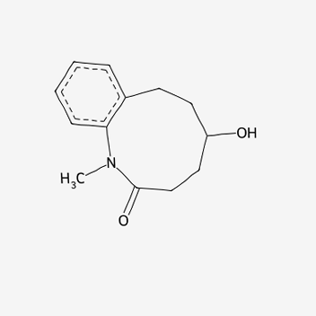 CN1C(=O)CCC(O)CCc2ccccc21